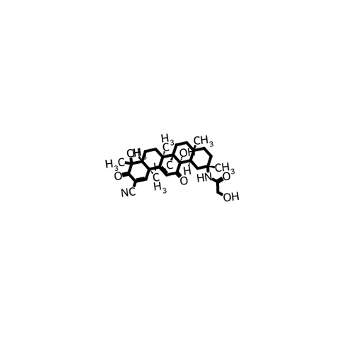 CC1(C)C(=O)C(C#N)=C[C@]2(C)C3=CC(=O)[C@]4(O)[C@@H]5C[C@@](C)(NC(=O)CO)CC[C@@]5(C)CC[C@@]4(C)[C@]3(C)CC[C@@H]12